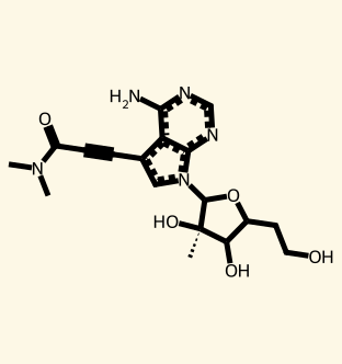 CN(C)C(=O)C#Cc1cn(C2OC(CCO)C(O)[C@@]2(C)O)c2ncnc(N)c12